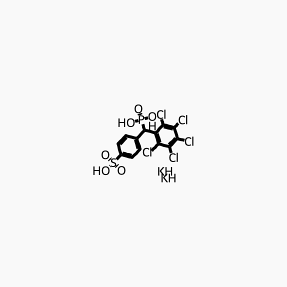 O=P(O)(O)C(c1ccc(S(=O)(=O)O)cc1)c1c(Cl)c(Cl)c(Cl)c(Cl)c1Cl.[KH].[KH]